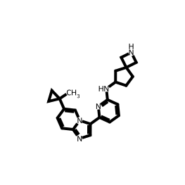 CC1(c2ccc3ncc(-c4cccc(NC5CCC6(CNC6)C5)n4)n3c2)CC1